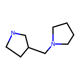 C1CCN(CC2CC[N]C2)C1